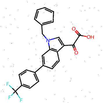 O=C(O)C(=O)c1cn(Cc2ccccc2)c2cc(-c3ccc(C(F)(F)F)cc3)ccc12